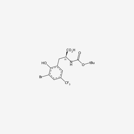 CC(C)(C)OC(=O)N[C@@H](Cc1cc(C(F)(F)F)cc(Br)c1O)C(=O)O